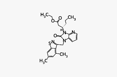 CCC[C@@H](CC(=O)OCC)n1c(=O)n(Cc2nsc3cc(C)cc(C)c23)c2cccnc21